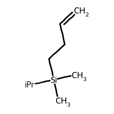 C=CCC[Si](C)(C)C(C)C